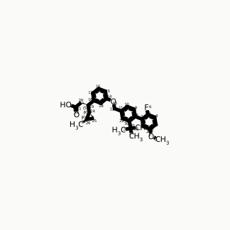 COc1ccc(F)c(-c2ccc(COc3cccc([C@@H](CC(=O)O)[C@@H]4C[C@H]4C)c3)cc2C(C)(C)C)c1